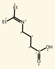 CCC(CC)=NCCCS(=O)O